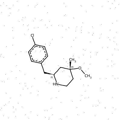 CO[C@]1(C)CCN[C@@H](Cc2ccc(Cl)cc2)C1